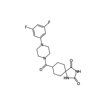 O=C1NC(=O)C2(CCC(C(=O)N3CCN(c4cc(F)cc(F)c4)CC3)CC2)N1